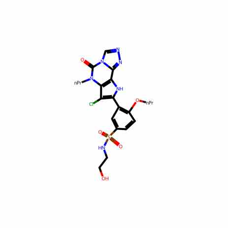 CCCOc1ccc(S(=O)(=O)NCCO)cc1-c1[nH]c2c(c1Cl)n(CCC)c(=O)n1cnnc21